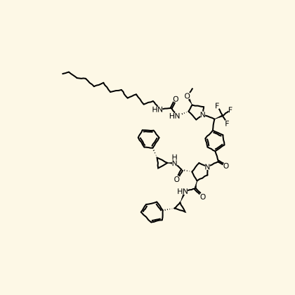 CCCCCCCCCCCCNC(=O)N[C@H]1CN([C@H](c2ccc(C(=O)N3C[C@@H](C(=O)N[C@H]4C[C@@H]4c4ccccc4)[C@H](C(=O)N[C@H]4C[C@@H]4c4ccccc4)C3)cc2)C(F)(F)F)C[C@@H]1OC